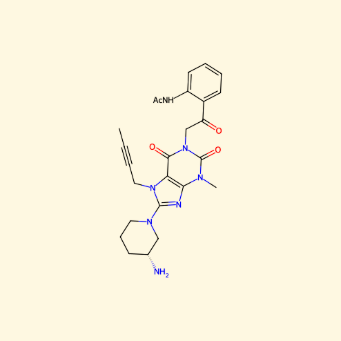 CC#CCn1c(N2CCC[C@@H](N)C2)nc2c1c(=O)n(CC(=O)c1ccccc1NC(C)=O)c(=O)n2C